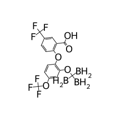 BC(B)(B)Oc1cc(OC(F)(F)F)ccc1Oc1ccc(C(F)(F)F)cc1C(=O)O